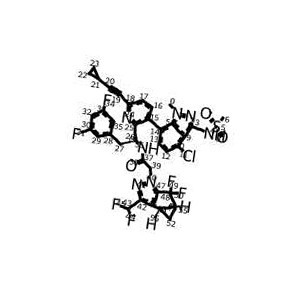 Cn1nc(NS(C)(=O)=O)c2c(Cl)ccc(-c3ccc(C#CC4CC4)nc3[C@H](Cc3cc(F)cc(F)c3)NC(=O)Cn3nc(C(F)F)c4c3C(F)(F)[C@@H]3C[C@H]43)c21